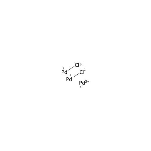 [Cl][Pd-].[Cl][Pd-].[Pd+2]